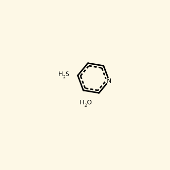 O.S.c1ccncc1